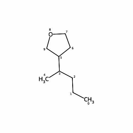 CCCC(C)C1CCOC1